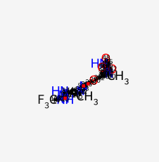 CC(c1ccc(-c2c[nH]c3nc(NCCC(F)(F)F)ncc23)cc1)N1CCN(CCCCOCCCc2ccc3c(c2)n(C)c(=O)n3C2CCC(=O)NC2=O)CC1